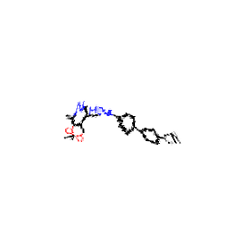 Cc1ncc(CNc2ccc(-c3ccc(C#N)cc3)cc2)c2c1OC(C)(C)OC2